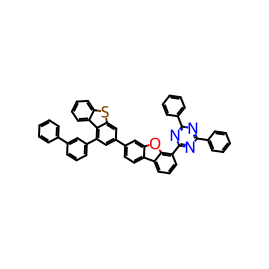 c1ccc(-c2cccc(-c3cc(-c4ccc5c(c4)oc4c(-c6nc(-c7ccccc7)nc(-c7ccccc7)n6)cccc45)cc4sc5ccccc5c34)c2)cc1